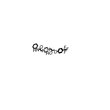 O=C(CN1CCN(C[C@H](O)COc2ccc(C(F)(F)F)cc2)CC1)NC1CCCCC1